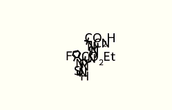 CCOC(=O)C1=C(CN2CCN3C(=CC#N)N(CC(C)(C)C(=O)O)CC3C2)NC(c2nccs2)=NC1c1cccc(F)c1C